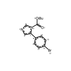 CC(C)COC(=O)n1cncc1-c1ccc(Br)cc1